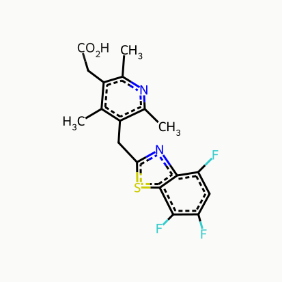 Cc1nc(C)c(Cc2nc3c(F)cc(F)c(F)c3s2)c(C)c1CC(=O)O